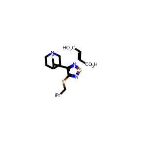 CC(C)CSc1nsnc1C1CN2CCC1CC2.O=C(O)/C=C/C(=O)O